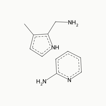 Cc1cc[nH]c1CN.Nc1ccccn1